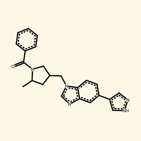 CC1CC(Cn2cnc3cc(-c4cn[nH]c4)ccc32)CN1C(=O)c1ccccc1